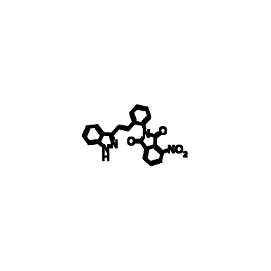 O=C1c2cccc([N+](=O)[O-])c2C(=O)N1c1ccccc1C=Cc1n[nH]c2ccccc12